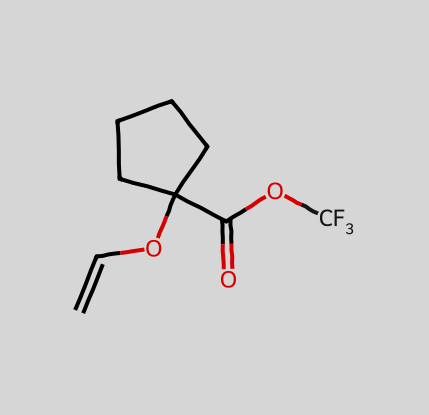 C=COC1(C(=O)OC(F)(F)F)CCCC1